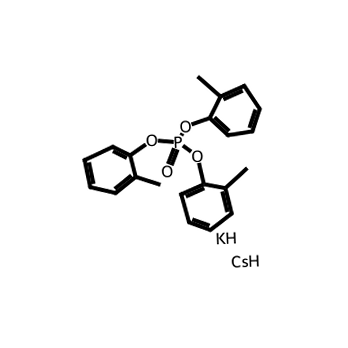 Cc1ccccc1OP(=O)(Oc1ccccc1C)Oc1ccccc1C.[CsH].[KH]